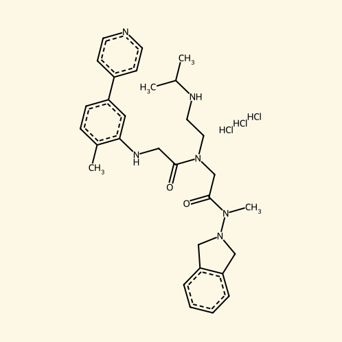 Cc1ccc(-c2ccncc2)cc1NCC(=O)N(CCNC(C)C)CC(=O)N(C)N1Cc2ccccc2C1.Cl.Cl.Cl